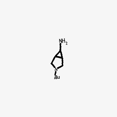 CCC(C)N1CC2C(N)C2C1